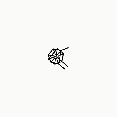 C[C]12[CH]3[CH]4[CH]5[CH]1[Ru]45321678[CH]2[CH]1[C]6(C)[C]7(C)[CH]28